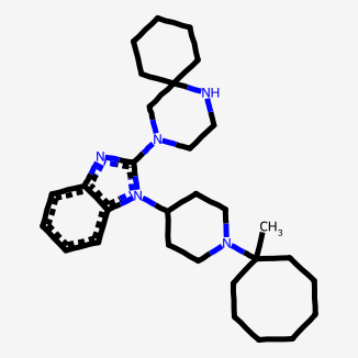 CC1(N2CCC(n3c(N4CCNC5(CCCCC5)C4)nc4ccccc43)CC2)CCCCCCC1